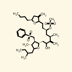 C=C1C[C@H](CCCC)OC1CC[C@H](C[C@@H](C)C(=C)C(O)C[C@@H]1OC(CC(C)CC)[C@H](C)[C@H]1CS(=O)(=O)c1ccccc1)OS(C)(=O)=O